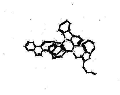 C=C/C=C\c1oc2ccccc2c1CN(c1ccc2c(ccc3c4ccccc4ccc23)c1)c1cccc2c3ccccc3n(-c3ccccc3)c12